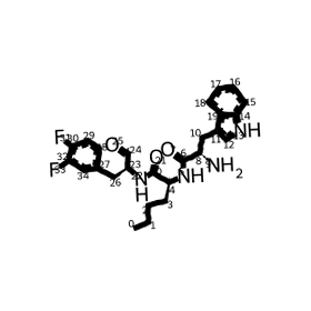 CCCC[C@H](NC(=O)[C@@H](N)Cc1c[nH]c2ccccc12)C(=O)N[C@H]([C]=O)Cc1ccc(F)c(F)c1